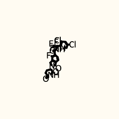 O=C1CCC(N2Cc3c(ccc(C(=O)NC(F)(c4ncc(Cl)cc4Cl)C(F)F)c3F)C2=O)C(=O)N1